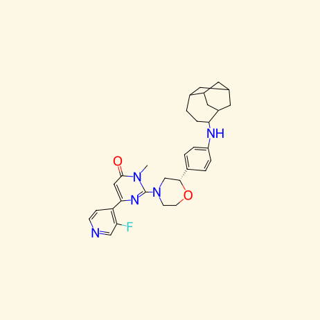 Cn1c(N2CCO[C@@H](c3ccc(NC4CCC5CC6CC5CC4C6)cc3)C2)nc(-c2ccncc2F)cc1=O